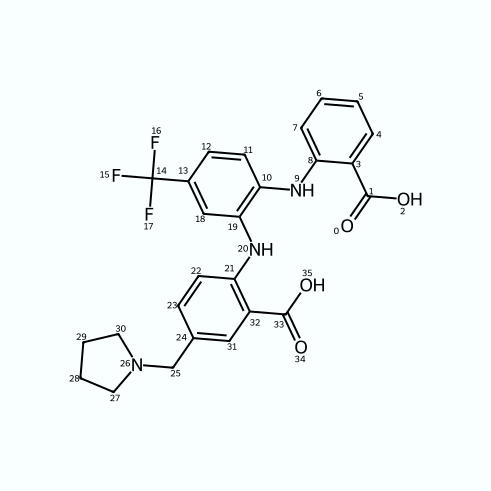 O=C(O)c1ccccc1Nc1ccc(C(F)(F)F)cc1Nc1ccc(CN2CCCC2)cc1C(=O)O